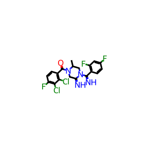 CC1CN(C(=N)c2ccc(F)cc2F)C(=N)CN1C(=O)c1ccc(F)c(Cl)c1Cl